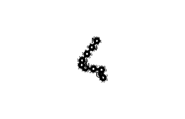 c1ccc(-c2ccc(-c3ccc(-c4ccc5ccc6ccc(-c7ccc(-c8cccc9c8oc8ccccc89)cc7)nc6c5n4)cc3)cn2)nc1